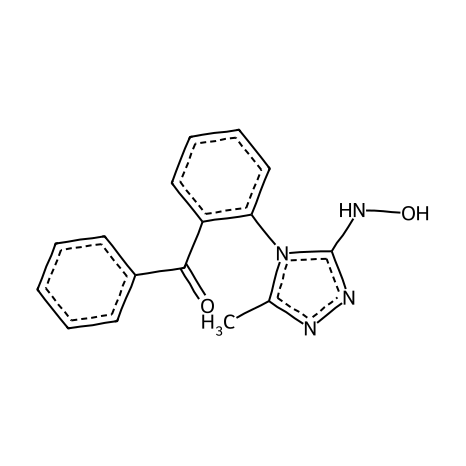 Cc1nnc(NO)n1-c1ccccc1C(=O)c1ccccc1